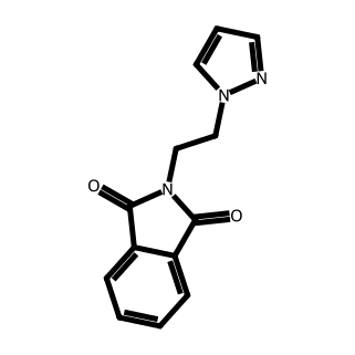 O=C1c2ccccc2C(=O)N1CCn1cccn1